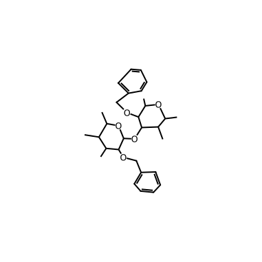 CC1OC(OC2C(C)C(C)OC(C)C2OCc2ccccc2)C(OCc2ccccc2)C(C)C1C